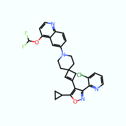 FC(F)Oc1ccnc2ccc(N3CCC4(C=C(c5c(-c6ncccc6Cl)noc5C5CC5)C4)CC3)cc12